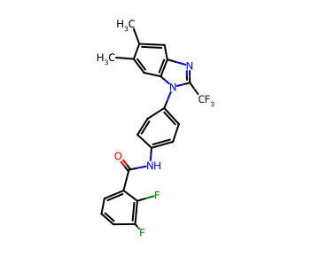 Cc1cc2nc(C(F)(F)F)n(-c3ccc(NC(=O)c4cccc(F)c4F)cc3)c2cc1C